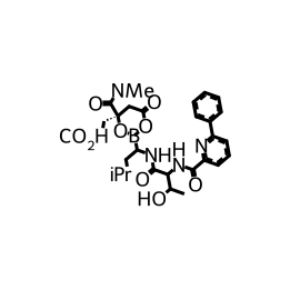 CNC(=O)[C@@]1(CC(=O)O)CC(=O)OB(C(CC(C)C)NC(=O)C(NC(=O)c2cccc(-c3ccccc3)n2)C(C)O)O1